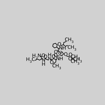 CCCCC(NC(=O)CNC(=O)C(=O)C(CCC)NC(=O)[C@@H]1C[C@@H](OCC(=O)OC(C)(C)C)CN1C(=O)C(NC(=O)C(CCC)CCC)C1CCCCC1)C(N)=O